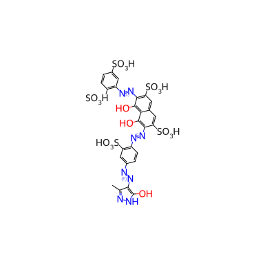 Cc1n[nH]c(O)c1/N=N/c1ccc(/N=N/c2c(S(=O)(=O)O)cc3cc(S(=O)(=O)O)c(/N=N/c4cc(S(=O)(=O)O)ccc4S(=O)(=O)O)c(O)c3c2O)c(S(=O)(=O)O)c1